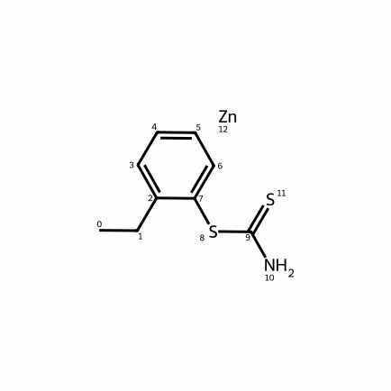 CCc1ccccc1SC(N)=S.[Zn]